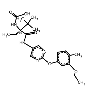 CCOc1cc(Oc2ncc(NC(=O)[C@](CC)(NC(=O)O)C(C)(C)C)cn2)ccc1C